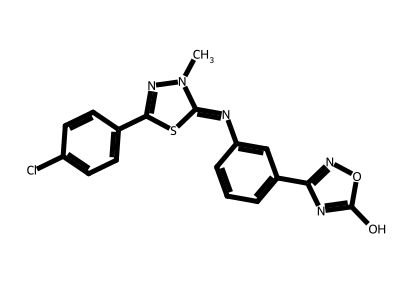 Cn1nc(-c2ccc(Cl)cc2)sc1=Nc1cccc(-c2noc(O)n2)c1